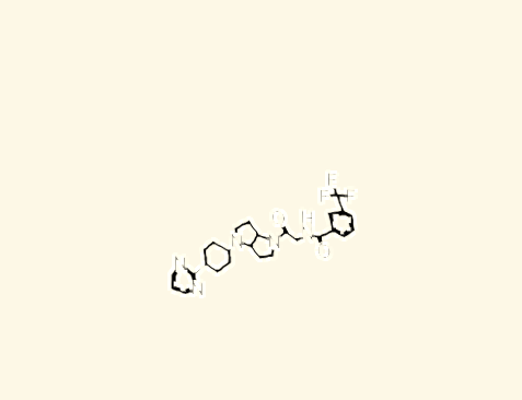 O=C(NCC(=O)N1CCC2C1CCN2[C@H]1CC[C@H](c2ncccn2)CC1)c1cccc(C(F)(F)F)c1